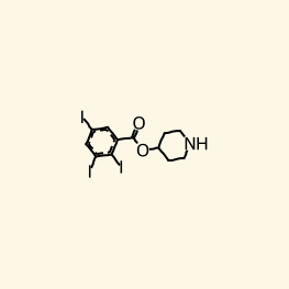 O=C(OC1CCNCC1)c1cc(I)cc(I)c1I